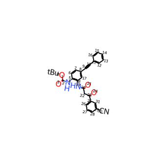 CC(C)(C)OC(=O)Nc1ccc(C#Cc2ccccc2)cc1NC(=O)CC(=O)c1cccc(C#N)c1